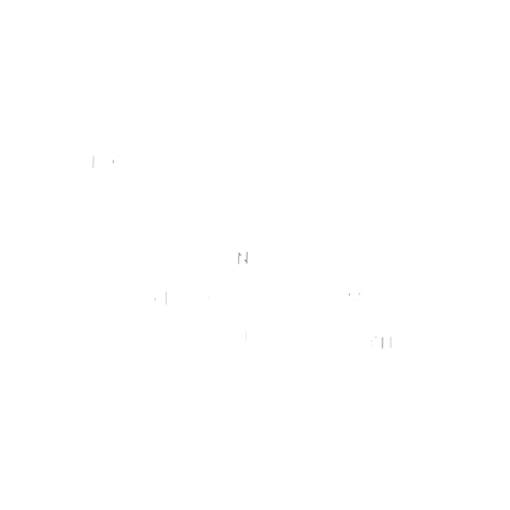 CCCCN(CCOC)C(=O)Cl